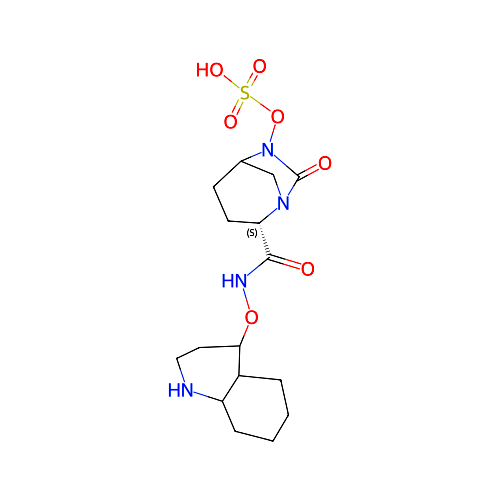 O=C(NOC1CCNC2CCCCC21)[C@@H]1CCC2CN1C(=O)N2OS(=O)(=O)O